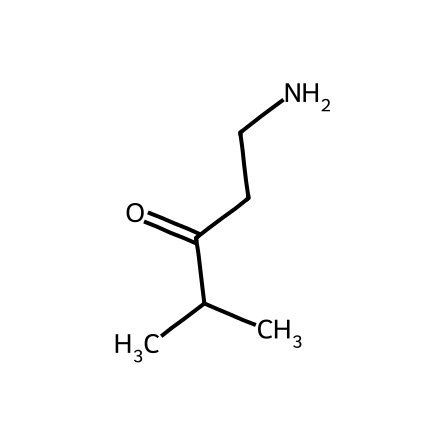 CC(C)C(=O)CCN